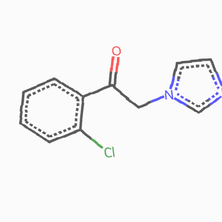 O=C(Cn1ccnc1)c1ccccc1Cl